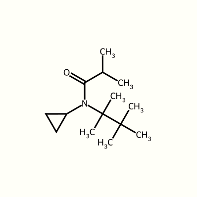 CC(C)C(=O)N(C1CC1)C(C)(C)C(C)(C)C